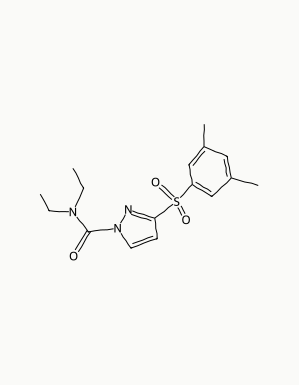 CCN(CC)C(=O)n1ccc(S(=O)(=O)c2cc(C)cc(C)c2)n1